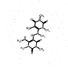 CNc1c(NN(C)c2c(N)c(=O)n(C)c(=O)n2C)c(=O)n(C)c(=O)n1C